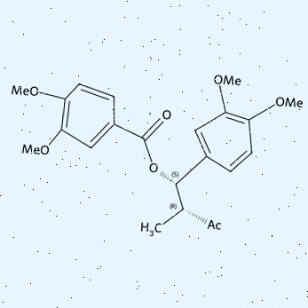 COc1ccc(C(=O)O[C@H](c2ccc(OC)c(OC)c2)[C@@H](C)C(C)=O)cc1OC